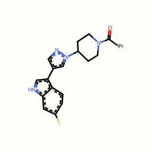 CC(C)C(=O)N1CCC(n2cc(-c3c[nH]c4cc(F)ccc34)cn2)CC1